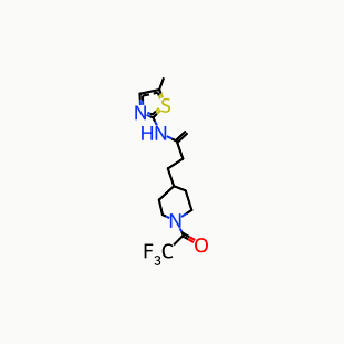 C=C(CCC1CCN(C(=O)C(F)(F)F)CC1)Nc1ncc(C)s1